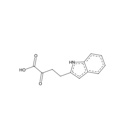 O=C(O)C(=O)CCc1cc2ccccc2[nH]1